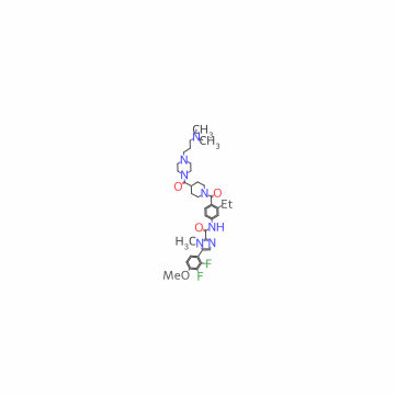 CCc1cc(NC(=O)c2ncc(-c3ccc(OC)c(F)c3F)n2C)ccc1C(=O)N1CCC(C(=O)N2CCN(CCCN(C)C)CC2)CC1